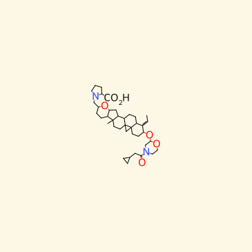 C/C=C1/C(OC2CN(C(=O)CC3CC3)CCO2)CCC23CC24CCC2(C)C5CCC(CN6CCCC6C(=O)O)OC5CC2C4CCC13